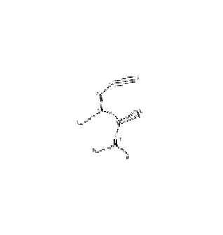 [C]#CCC(C)C(=O)N(C)C